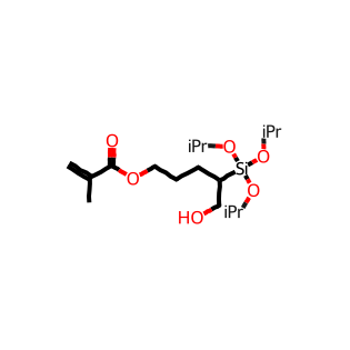 C=C(C)C(=O)OCCCC(CO)[Si](OC(C)C)(OC(C)C)OC(C)C